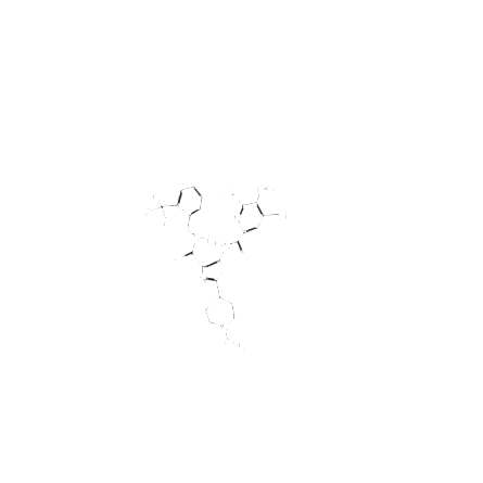 CN1CCC(c2nc(C(=O)NCc3ccccc3C(F)(F)F)c(NC(=O)c3cc(Cl)c(O)c(Cl)n3)s2)CC1